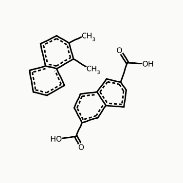 Cc1ccc2ccccc2c1C.O=C(O)c1ccc2cc(C(=O)O)ccc2c1